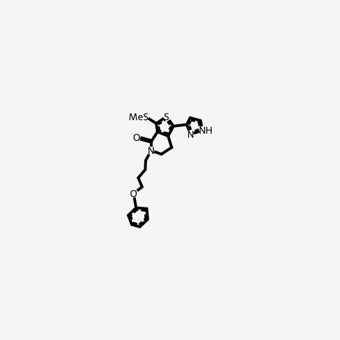 CSc1sc(-c2cc[nH]n2)c2c1C(=O)N(CCCCOc1ccccc1)CC2